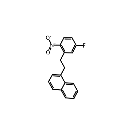 O=[N+]([O-])c1ccc(F)cc1CCc1cccc2ccccc12